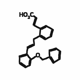 O=C(O)C=Cc1ccccc1CC=Cc1ccccc1OCc1ccccc1